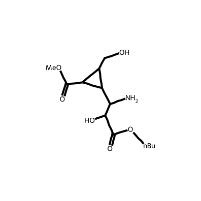 CCCCOC(=O)C(O)C(N)C1C(CO)C1C(=O)OC